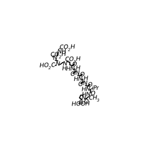 CC(C)[C@H](NC(=O)CNC(=O)CNC(=O)CNC(=O)CNC(=O)CCC(NCCN(CCN(CCNCC(=O)O)CC(=O)O)CC(=O)O)C(=O)O)C(=O)N[C@H](C)C(=O)N1CCC[C@H]1B(O)O